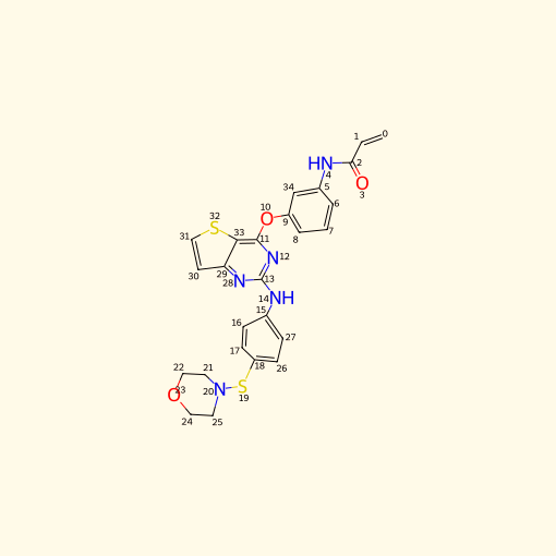 C=CC(=O)Nc1cccc(Oc2nc(Nc3ccc(SN4CCOCC4)cc3)nc3ccsc23)c1